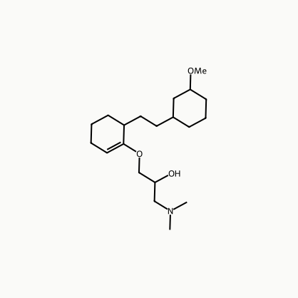 COC1CCCC(CCC2CCCC=C2OCC(O)CN(C)C)C1